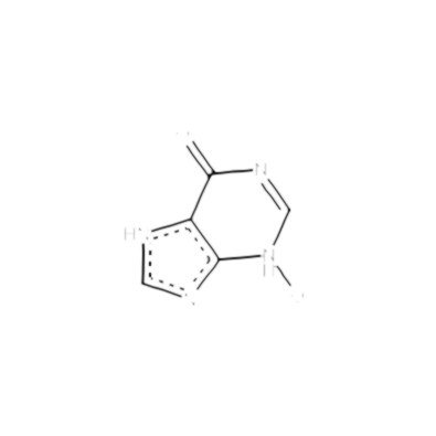 O=C1N=C[NH+]([O-])c2nc[nH]c21